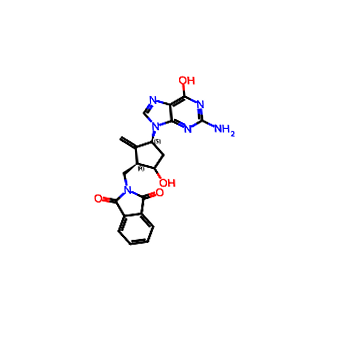 C=C1[C@H](CN2C(=O)c3ccccc3C2=O)C(O)C[C@@H]1n1cnc2c(O)nc(N)nc21